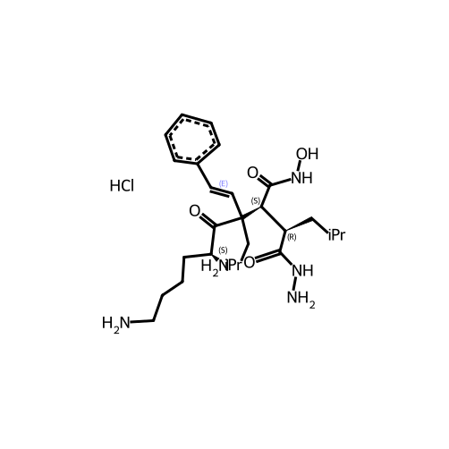 CC(C)C[C@@H](C(=O)NN)[C@H](C(=O)NO)C(/C=C/c1ccccc1)(CC(C)C)C(=O)[C@@H](N)CCCCN.Cl